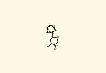 CC1CN(c2ncccn2)CCN1C